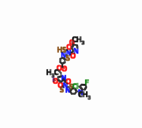 COc1ccnc2c1OC(S)N(c1nc3ccc(C(=O)OC(C)Cc4cc(OI)c5oc(=S)n(-c6nc7ccc(N(C)c8ccc(F)cc8Cl)cc7s6)c(=O)c5n4)cc3s1)C2=O